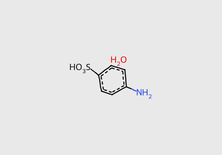 Nc1ccc(S(=O)(=O)O)cc1.O